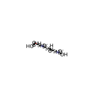 O=C(NCCSCC/N=C/[S+]([O-])CCSCCSC(=O)NCCSCC/N=C/[S+]([O-])CCO)SCCO